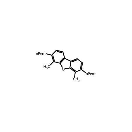 CCCCCc1ccc2c(oc3c(C)c(CCCCC)ccc32)c1C